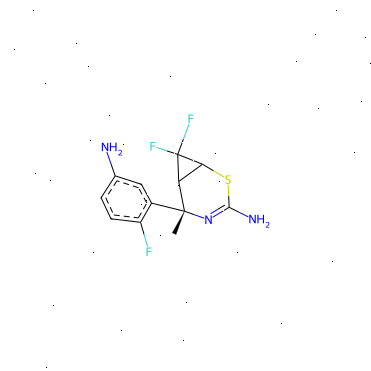 C[C@]1(c2cc(N)ccc2F)N=C(N)SC2C1C2(F)F